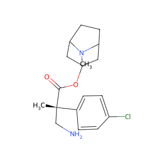 CN1C2CCC1CC(OC(=O)[C@@](C)(CN)c1ccc(Cl)cc1)C2